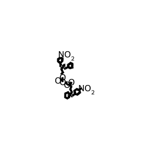 C[N+](CCCOC(=O)OCOC(=O)CCC[N+]1(Cc2ccc([N+](=O)[O-])cc2)CCCCC1)(Cc1ccccc1)Cc1ccc([N+](=O)[O-])cc1